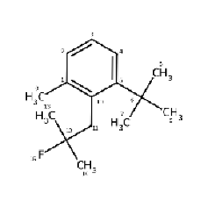 Cc1cccc(C(C)(C)C)c1CC(C)(C)F